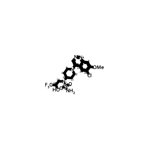 COc1cc2nncc(N3CCC(N(CC(O)C(F)(F)F)S(N)(=O)=O)CC3)c2cc1Cl